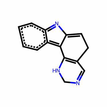 C1=NCNC2=C1CC=C1N=c3ccccc3=C12